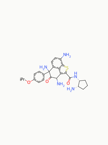 CC(C)Oc1ccc(C2(N)C(=O)C(N)c3c(C(=O)N[C@@H]4CCC[C@@H]4N)sc4c(N)ccc2c34)cc1